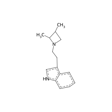 CC1CN(CCc2c[nH]c3ccccc23)C1C